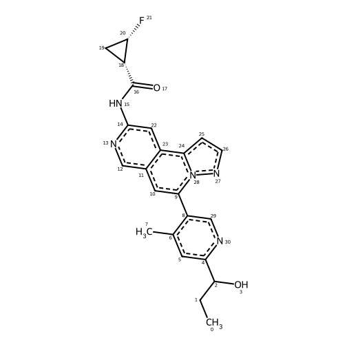 CCC(O)c1cc(C)c(-c2cc3cnc(NC(=O)[C@@H]4C[C@@H]4F)cc3c3ccnn23)cn1